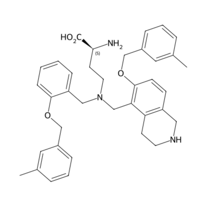 Cc1cccc(COc2ccccc2CN(CC[C@H](N)C(=O)O)Cc2c(OCc3cccc(C)c3)ccc3c2CCNC3)c1